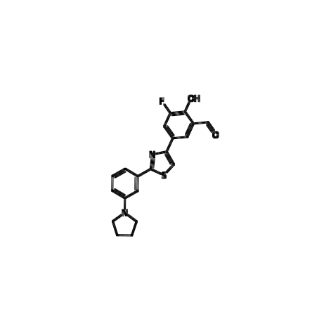 O=Cc1cc(-c2csc(-c3cccc(N4CCCC4)c3)n2)cc(F)c1O